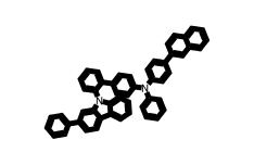 c1ccc(-c2ccc3c4ccccc4n(-c4ccccc4-c4ccc(N(c5ccccc5)c5ccc(-c6ccc7ccccc7c6)cc5)cc4)c3c2)cc1